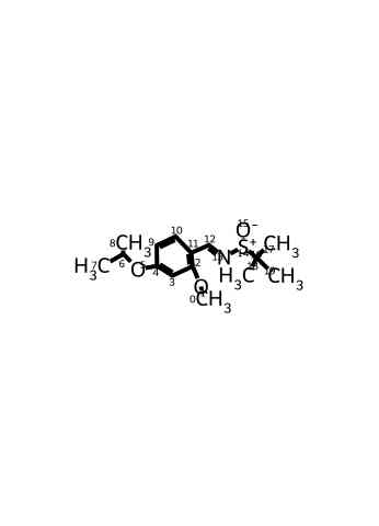 COc1cc(OC(C)C)ccc1/C=N/[S+]([O-])C(C)(C)C